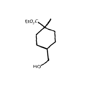 CCOC(=O)C1(C)CCC(CO)CC1